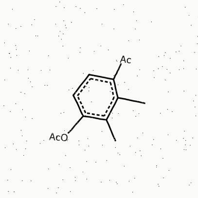 CC(=O)Oc1ccc(C(C)=O)c(C)c1C